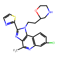 FC(F)(F)c1nc2cc(Cl)ccc2c2c1nc(-c1nccs1)n2CCC1CNCCO1